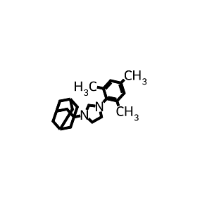 Cc1cc(C)c(N2CCN(C34CC5CC(CC(C5)C3)C4)C2)c(C)c1